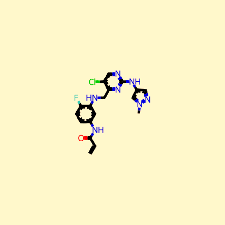 C=CC(=O)Nc1ccc(F)c(NCc2nc(Nc3cnn(C)c3)ncc2Cl)c1